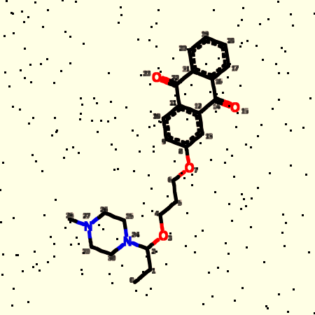 CCC(OCCCOc1ccc2c(c1)C(=O)c1ccccc1C2=O)N1CCN(C)CC1